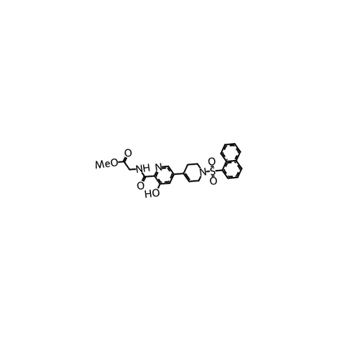 COC(=O)CNC(=O)c1ncc(C2=CCN(S(=O)(=O)c3cccc4ccccc34)CC2)cc1O